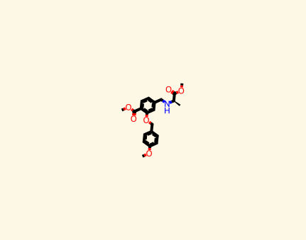 COC(=O)c1ccc(CN[C@H](C)C(=O)OC)cc1OCc1ccc(OC)cc1